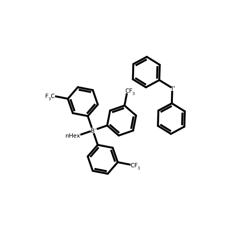 CCCCCC[B-](c1cccc(C(F)(F)F)c1)(c1cccc(C(F)(F)F)c1)c1cccc(C(F)(F)F)c1.c1ccc([I+]c2ccccc2)cc1